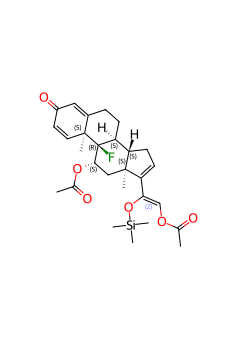 CC(=O)O/C=C(\O[Si](C)(C)C)C1=CC[C@H]2[C@@H]3CCC4=CC(=O)C=C[C@]4(C)[C@@]3(F)[C@@H](OC(C)=O)C[C@]12C